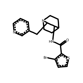 O=C(NC1C2CCN(CC2)C1Cc1cccnc1)c1sccc1Br